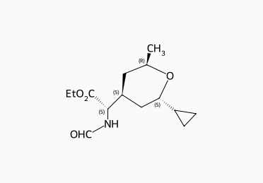 CCOC(=O)[C@@H](NC=O)[C@H]1C[C@@H](C)O[C@H](C2CC2)C1